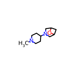 CN1CCC(N2CC3CC(C2)O3)CC1